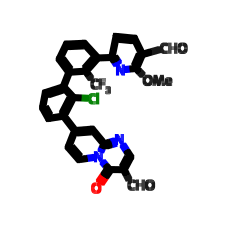 COc1nc(-c2cccc(-c3cccc(-c4ccn5c(=O)c(C=O)cnc5c4)c3Cl)c2C(F)(F)F)ccc1C=O